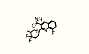 CC1CN(c2nc3c(F)cccc3cc2C(N)=O)CCC1(F)F